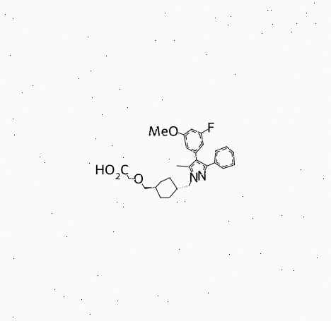 COc1cc(F)cc(-c2c(-c3ccccc3)nn(C[C@H]3CC[C@H](COCC(=O)O)CC3)c2C)c1